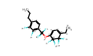 CCCc1ccc(C(F)(F)OC2=CC=C(CC)C(F)(F)C2(F)F)c(F)c1F